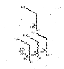 CCCCCCCC/C=C\CCCCCCC(CCS)C(=O)O.CCCCCCCC/C=C\CCCCCCC(CCS)C(=O)O.CCCCCCCC/C=C\CCCCCCC(CCS)C(=O)O.CCCCCCCC/C=C\CCCCCCC(CCS)C(=O)O.[CH3][Sb][S][Sb][CH3]